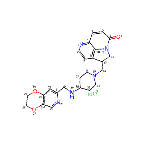 Cl.O=c1ccc2nccc3c2n1CC3CN1CCC(NCc2cc3c(cn2)OCCO3)CC1